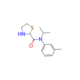 Cc1cccc(N(C(=O)C2NCCS2)C(C)C)c1